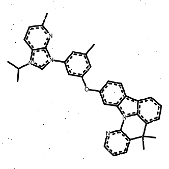 Cc1cc(Oc2ccc3c4cccc5c4n(c3c2)-c2ncccc2C5(C)C)cc(-n2c[n+](C(C)C)c3ccc(C)nc32)c1